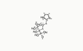 O=P(O)(O)C(O)(COCc1ncc[nH]1)P(=O)(O)O